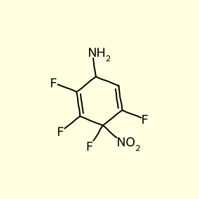 NC1C=C(F)C(F)([N+](=O)[O-])C(F)=C1F